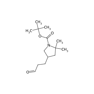 CC(C)(C)OC(=O)N1CC(CCC=O)CC1(C)C